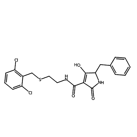 O=C(NCCSCc1c(Cl)cccc1Cl)C1=C(O)C(Cc2ccccc2)NC1=O